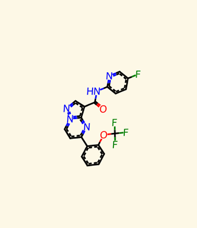 O=C(Nc1ccc(F)cn1)c1cnn2ccc(-c3ccccc3OC(F)(F)F)nc12